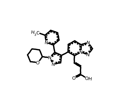 Cc1cccc(-c2c(-c3ccc4ncnn4c3C=CC(=O)O)cnn2C2CCCCO2)n1